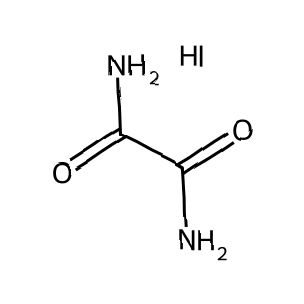 I.NC(=O)C(N)=O